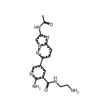 CC(=O)Nc1cn2nc(-c3cnc(N)c(C(=O)NCCN)c3)ccc2n1